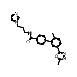 Cc1nnc(-c2ccc(C)c(-c3ccc(C(=O)NCCCn4ccnc4)cc3)c2)o1